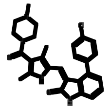 Cc1[nH]c(C=C2C(=O)Nc3cccc(-c4ccc(Cl)cc4)c32)c(C)c1C(=O)N1CCN(C)CC1